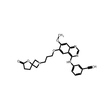 C#Cc1cccc(Nc2ncnc3cc(OC)c(OCCCN4CC5(CCC(=O)O5)C4)cc23)c1